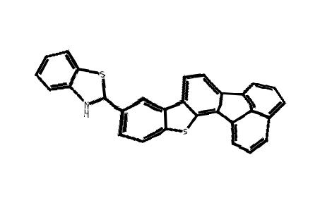 c1ccc2c(c1)NC(c1ccc3sc4c5c(ccc4c3c1)-c1cccc3cccc-5c13)S2